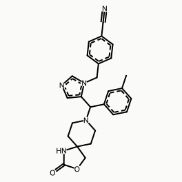 Cc1cccc(C(c2cncn2Cc2ccc(C#N)cc2)N2CCC3(CC2)COC(=O)N3)c1